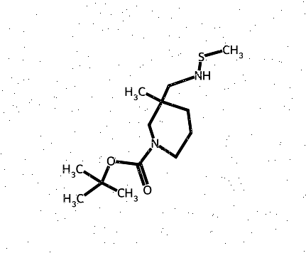 CSNCC1(C)CCCN(C(=O)OC(C)(C)C)C1